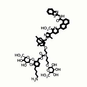 Cc1c(-c2ccc(-c3ccc4cccc(C(=O)Nc5nc6ccccc6s5)c4c3)nc2C(=O)O)cnn1CC12CC3(C)CC(C)(C1)CC(OCCN(CCCO[C@H]1O[C@@H](C(=O)O)[C@H](O)[C@@H](O)[C@@H]1O)C(=O)OCc1ccc(CCCCN)cc1O[C@H]1O[C@@H](C(=O)O)C(O)[C@@H](O)[C@@H]1O)(C3)C2